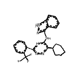 FC(F)(F)c1ccccc1-c1nnc(C2CCCCC2)c(Nc2n[nH]c3ccccc23)n1